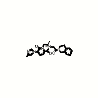 Cc1cn(-c2ccc3n(c2=O)C[C@@H](C)N(CC(=O)N2CCc4ccccc4C2)C3=O)cn1